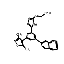 Cc1noc(C)c1-c1cc(-c2ccc3ccccc3c2)cc(-c2nnc(SCC(=O)O)[nH]2)c1